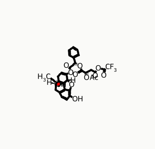 CC(=O)O[C@@H](CC(=O)OC(=O)C(F)(F)F)C(=O)O[C@H](C(=O)OC1=CC[C@@]2(O)[C@H]3Cc4ccc(O)c5c4[C@@]2(CCN3C)[C@H]1O5)c1ccccc1